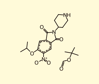 CC(C)(C)OC=O.CC(C)Oc1cc2c(cc1[N+](=O)[O-])C(=O)N(C1CCNCC1)C2=O